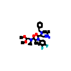 CCOC(CN(C(=O)C(C)N(C(=O)C(CN)N(Cc1ccccc1)C(=O)O)c1ccc(F)c(F)c1)C1CC1)OCC